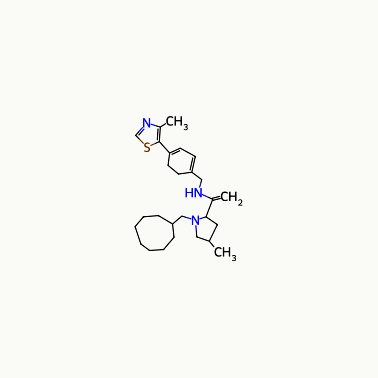 C=C(NCC1=CC=C(c2scnc2C)CC1)C1CC(C)CN1CC1CCCCCCC1